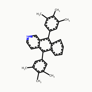 Cc1cc(-c2c3ccccc3c(-c3cc(C)c(C)c(C)c3)c3cnccc23)cc(C)c1C